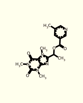 Cc1cncc(C(=O)OC(C)c2nc3c(c(=O)n(C)c(=O)n3C)n2C)c1